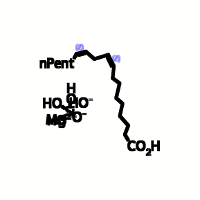 CCCCC/C=C\C/C=C\CCCCCCCC(=O)O.[Mg+2].[O-][Si](O)(O)O.[OH-]